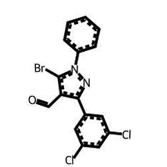 O=Cc1c(-c2cc(Cl)cc(Cl)c2)nn(-c2ccccc2)c1Br